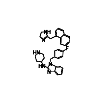 Fc1ccc(Cn2c(NC3CCNCC3)nc3ccccc32)cc1.c1ccc2c(CC3=NCCN3)cccc2c1